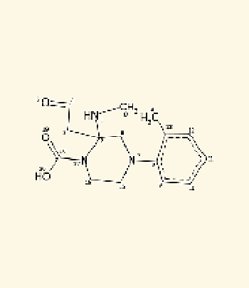 CNC1(CC=O)CN(c2ccccc2C)CCN1C(=O)O